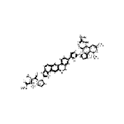 COC(=O)N[C@H](C(=O)N1[C@@H](C)CC[C@H]1c1nc2ccc3cc4c(cc3c2[nH]1)OCc1cc(-c2cnc([C@@H]3CC[C@@H]5C6C(C[C@@H](C)O[C@@H]6C)[C@@H](NC(=O)OC)C(=O)N53)[nH]2)ccc1-4)C(C)C